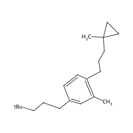 Cc1cc(CCCC(C)(C)C)ccc1CCCC1(C)CC1